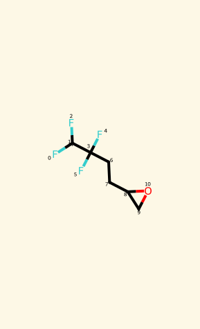 F[C](F)C(F)(F)CCC1CO1